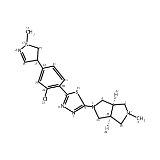 CN1C[C@@H]2CN(c3nnc(-c4ccc(C5C=NN(C)C5)cc4Cl)s3)C[C@@H]2C1